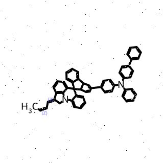 C/C=C\C=C1/CN2c3ccccc3C3(c4ccccc4C4C=C(c5ccc(N(c6ccccc6)c6ccc(-c7ccccc7)cc6)cc5)C=CC43)c3cccc1c32